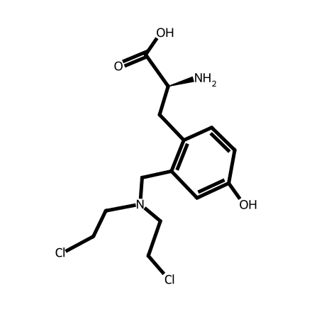 N[C@@H](Cc1ccc(O)cc1CN(CCCl)CCCl)C(=O)O